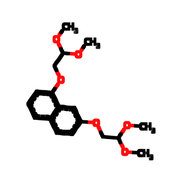 COC(COc1ccc2cccc(OCC(OC)OC)c2c1)OC